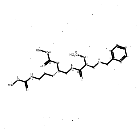 CC(C)(C)OC(=O)NCCC[C@@H](CNC(=O)[C@H](COCc1ccccc1)NC(=O)O)NC(=O)OC(C)(C)C